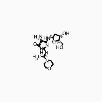 C/C(=N\c1nc(N[C@H]2C[C@@H](O)[C@@H](CO)O2)c(N)c(=O)[nH]1)N1CCOCC1